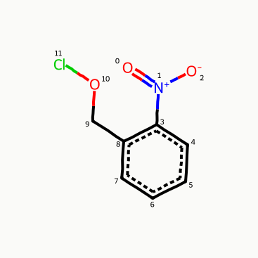 O=[N+]([O-])c1ccccc1COCl